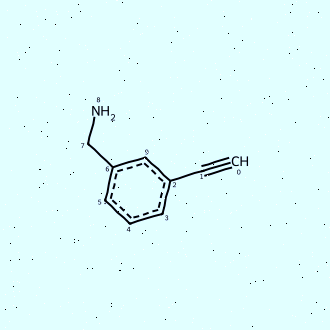 C#Cc1cc[c]c(CN)c1